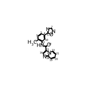 Cc1ccc(-c2ncno2)cc1NC(=O)c1cnc2ccccn12